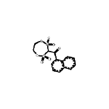 O=C(c1cccc2ccccc12)C1S(=O)(=O)OCCOS1(=O)=O